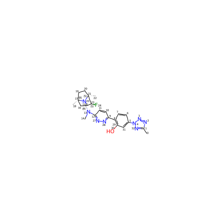 Cc1nnn(-c2ccc(-c3ccc(N(C)[C@@H]4C[C@@]5(C)CC[C@@](C)([C@H]4F)N5C)nn3)c(O)c2)n1